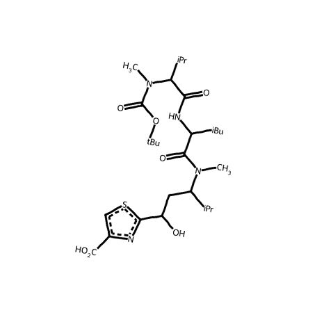 CCC(C)C(NC(=O)C(C(C)C)N(C)C(=O)OC(C)(C)C)C(=O)N(C)C(CC(O)c1nc(C(=O)O)cs1)C(C)C